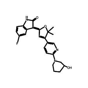 CC1(C)OC(=C2C(=O)Nc3ccc(F)cc32)C=C1c1ccc(N2CCCC(O)C2)nc1